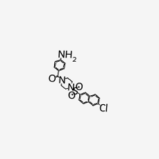 Nc1ccc(C(=O)N2CCN(S(=O)(=O)c3ccc4cc(Cl)ccc4c3)CC2)cc1